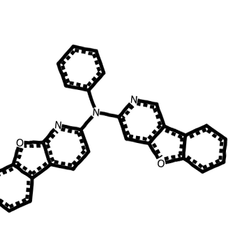 c1ccc(N(c2cc3oc4ccccc4c3cn2)c2ccc3c(n2)oc2ccccc23)cc1